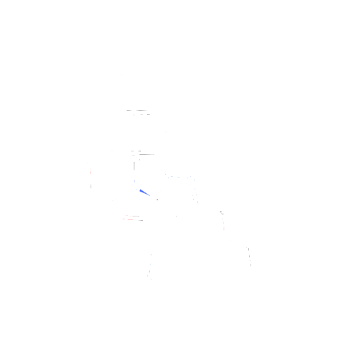 CCOC(=O)C1=NN(c2ccc(OC)cc2)[C@](C=O)(N2CCOCC2)[C@H]1CCN